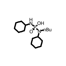 CCCCN(C1CCCCC1)P(=O)(O)NC1CCCCC1